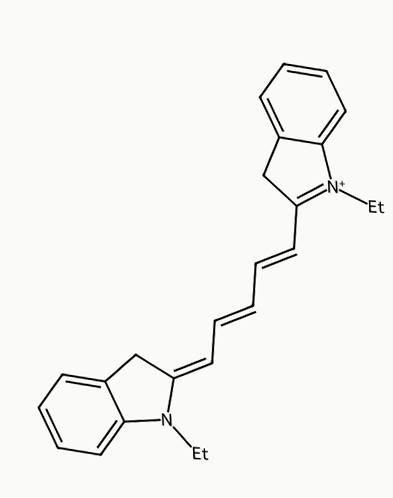 CCN1/C(=C/C=C/C=C/C2=[N+](CC)c3ccccc3C2)Cc2ccccc21